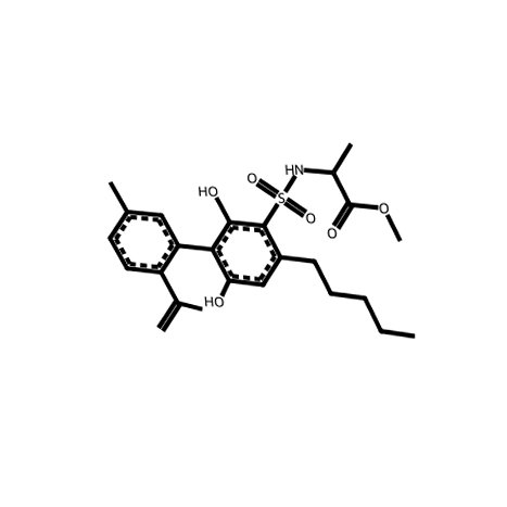 C=C(C)c1ccc(C)cc1-c1c(O)cc(CCCCC)c(S(=O)(=O)NC(C)C(=O)OC)c1O